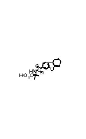 CC(C)(NS(=O)(=O)c1ccc2c3c(oc2c1)CCCC3)C(=O)O